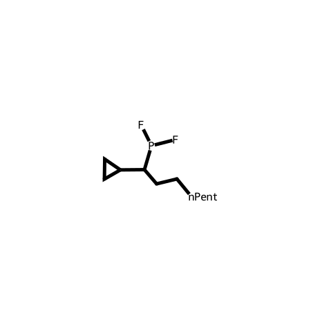 CCCCCCCC(C1CC1)P(F)F